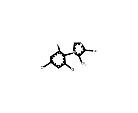 Cc1c(S)ncn1-c1c(Cl)cc(Cl)cc1Cl